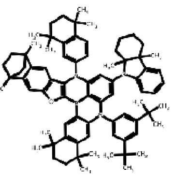 CC(C)(C)c1cc(N2c3cc4c(cc3B3c5oc6cc7c(cc6c5N(c5ccc6c(c5)C(C)(C)CCC6(C)C)c5cc(N6c8ccccc8C8(C)CCCCC68C)cc2c53)C2(C)CCC7(C)CC2)C(C)(C)CCC4(C)C)cc(C(C)(C)C)c1